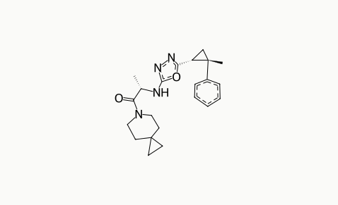 C[C@H](Nc1nnc([C@@H]2C[C@]2(C)c2ccccc2)o1)C(=O)N1CCC2(CC1)CC2